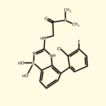 CN(C)C(=O)CNC1=NS(O)(O)c2cccc(-c3cccc(F)c3Cl)c2N1